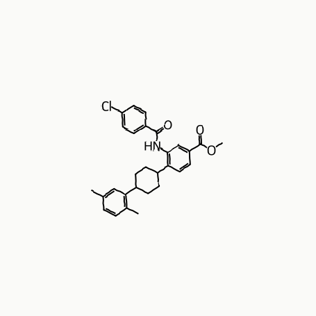 COC(=O)c1ccc(C2CCC(c3cc(C)ccc3C)CC2)c(NC(=O)c2ccc(Cl)cc2)c1